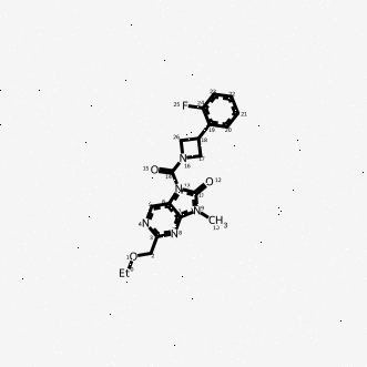 CCOCc1ncc2c(n1)n(C)c(=O)n2C(=O)N1CC(c2ccccc2F)C1